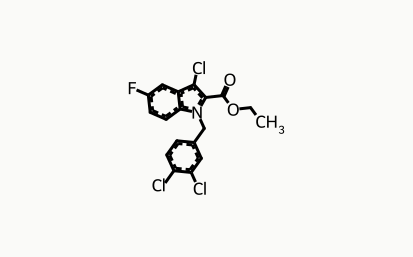 CCOC(=O)c1c(Cl)c2cc(F)ccc2n1Cc1ccc(Cl)c(Cl)c1